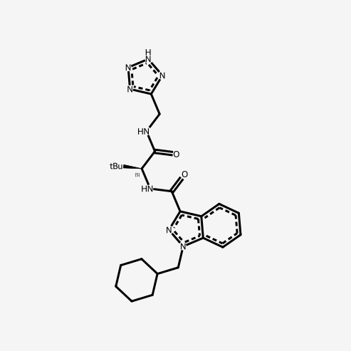 CC(C)(C)[C@H](NC(=O)c1nn(CC2CCCCC2)c2ccccc12)C(=O)NCc1nn[nH]n1